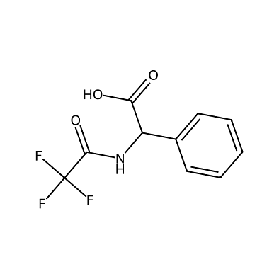 O=C(O)C(NC(=O)C(F)(F)F)c1ccccc1